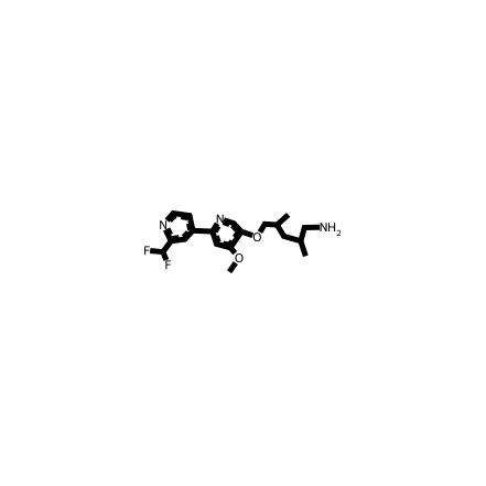 COc1cc(-c2ccnc(C(F)F)c2)ncc1OCC(C)CC(C)CN